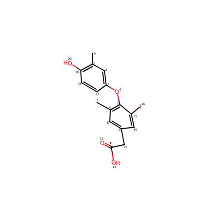 Cc1cc(Oc2c(C)cc(CC(=O)O)cc2I)ccc1O